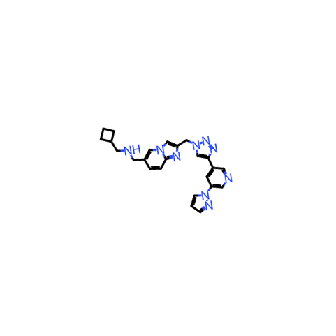 c1cnn(-c2cncc(-c3cn(Cc4cn5cc(CNCC6CCC6)ccc5n4)nn3)c2)c1